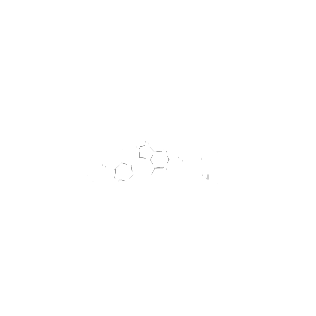 Cn1c(N2CCC3(CC2)CC(F)(F)C[C@H]3N)nc2[nH]nc(-c3ccnc(NC4CC4)c3Cl)c2c1=O